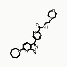 Cn1nc(-c2cnc(C(=O)NCCN3CCOCC3)nc2)c2ccc(N3CCCCCC3)nc21